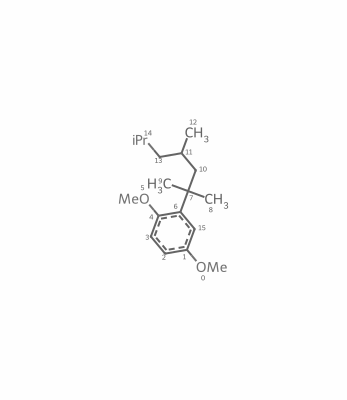 COc1ccc(OC)c(C(C)(C)CC(C)CC(C)C)c1